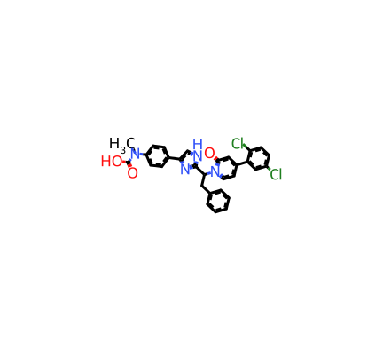 CN(C(=O)O)c1ccc(-c2c[nH]c(C(Cc3ccccc3)n3ccc(-c4cc(Cl)ccc4Cl)cc3=O)n2)cc1